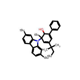 CC(C)(C)CC(C)(C)C1=CC(n2c3cc(C(C)(C)C)ccc3c3ccc(C(C)(C)C)cc32)(C(C)(C)C)C(O)C(c2ccccc2)=C1